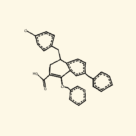 O=C(O)C1=C(Oc2ccccc2)c2cc(-c3ccccc3)ccc2C(Cc2ccc(Cl)cc2)C1